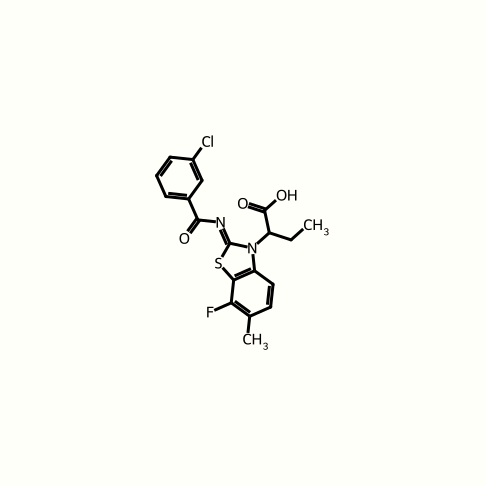 CCC(C(=O)O)n1c(=NC(=O)c2cccc(Cl)c2)sc2c(F)c(C)ccc21